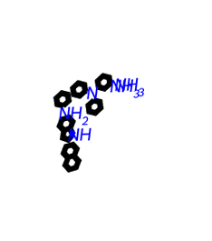 N.N.Nc1ccccc1.c1ccc(N(c2ccccc2)c2ccccc2)cc1.c1ccc2[nH]ccc2c1.c1ccc2ccccc2c1